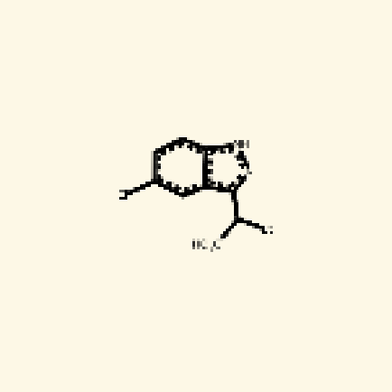 CCC(C(=O)O)c1n[nH]c2ccc(Cl)cc12